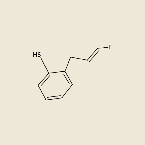 FC=CCc1ccccc1S